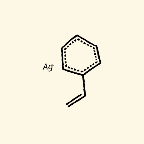 C=Cc1ccccc1.[Ag]